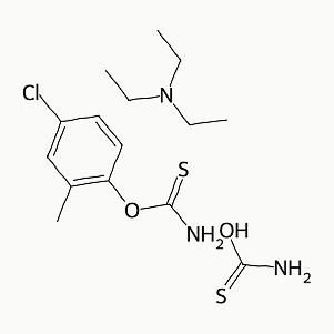 CCN(CC)CC.Cc1cc(Cl)ccc1OC(N)=S.NC(O)=S